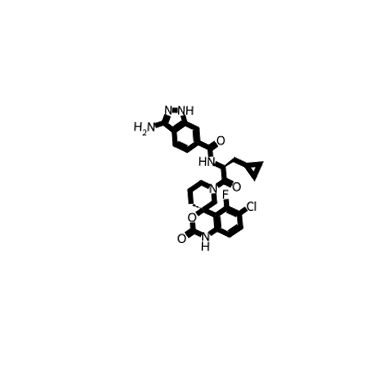 Nc1n[nH]c2cc(C(=O)N[C@@H](CC3CC3)C(=O)N3CCC[C@@]4(C3)OC(=O)Nc3ccc(Cl)c(F)c34)ccc12